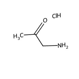 CC(=O)CN.Cl